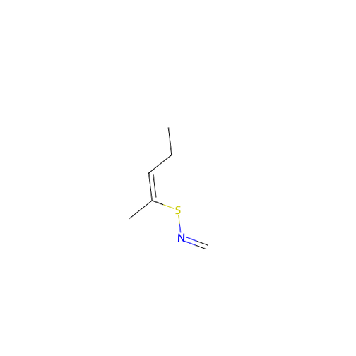 C=NS/C(C)=C\CC